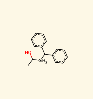 CC(O)[SiH2]C(c1ccccc1)c1ccccc1